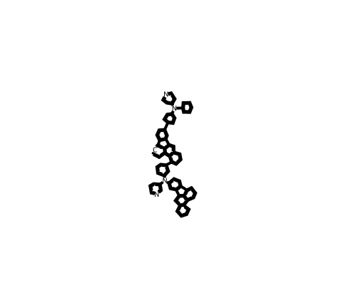 c1ccc(N(c2ccncc2)c2ccc(-c3ccc4c(c3)-c3cc5cccc(-c6cccc(N(c7cccnc7)c7ccc8c(c7)-c7cc9ccccc9c9cccc-8c79)c6)c5c5cccc-4c35)cc2)cc1